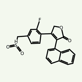 O=C1OCC(c2ccc(C[SH](=O)=O)cc2F)=C1c1cccc2ccccc12